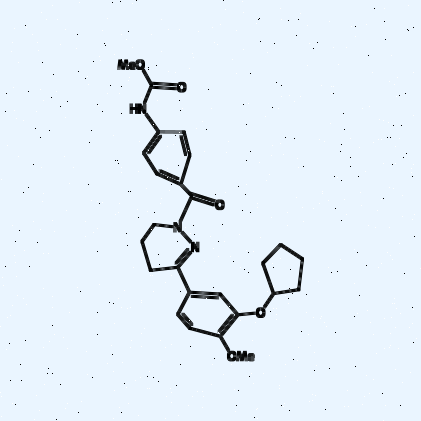 COC(=O)Nc1ccc(C(=O)N2CCCC(c3ccc(OC)c(OC4CCCC4)c3)=N2)cc1